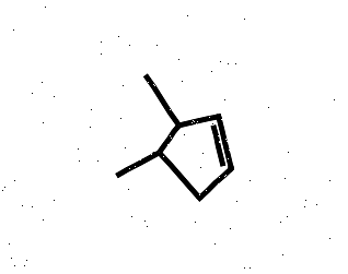 C[C]1CC=CC1C